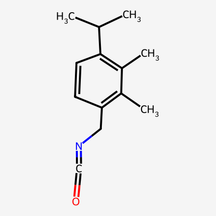 Cc1c(CN=C=O)ccc(C(C)C)c1C